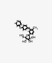 Cc1ccc([C@@H]2O[C@H](CO)[C@@H](O)[C@H](O)[C@H]2O)cc1Cc1ccc(Oc2ccncc2)cc1